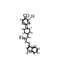 CCN(CCc1cn(C)c2ccccc12)CC1CCN(c2ncc(C(=O)O)cn2)CC1